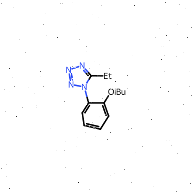 CCc1nnnn1-c1ccccc1OCC(C)C